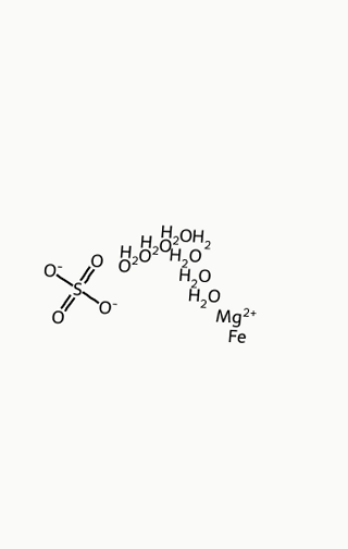 O.O.O.O.O.O.O.O=S(=O)([O-])[O-].[Fe].[Mg+2]